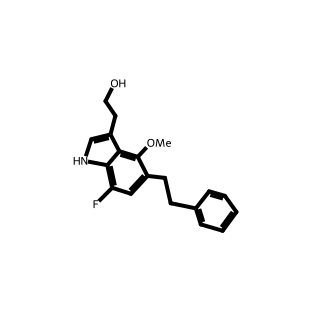 COc1c(CCc2ccccc2)cc(F)c2[nH]cc(CCO)c12